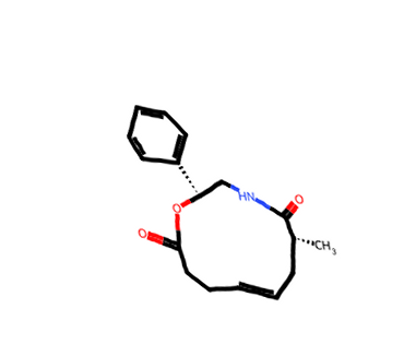 C[C@@H]1C/C=C/CCC(=O)O[C@H](c2ccccc2)CNC1=O